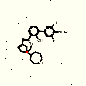 CC(=O)Nc1c(F)cc(-c2cccc(/C3=C/C(CCC4CCCNCC4)=C/CCCO3)c2O)cc1Cl